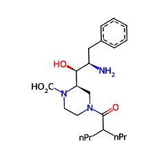 CCCC(CCC)C(=O)N1CCN(C(=O)O)[C@@H]([C@@H](O)[C@H](N)Cc2ccccc2)C1